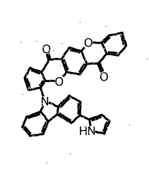 O=c1c2ccccc2oc2cc3c(=O)c4cccc(-n5c6ccccc6c6cc(-c7ccc[nH]7)ccc65)c4oc3cc12